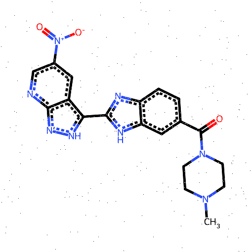 CN1CCN(C(=O)c2ccc3nc(-c4[nH]nc5ncc([N+](=O)[O-])cc45)[nH]c3c2)CC1